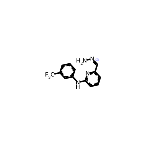 N/N=C\c1cccc(Nc2cccc(C(F)(F)F)c2)n1